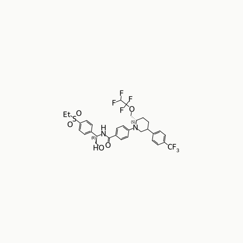 CCS(=O)(=O)c1ccc([C@H](CO)NC(=O)c2ccc(N3CC(c4ccc(C(F)(F)F)cc4)CC[C@H]3COC(F)(F)C(F)F)cc2)cc1